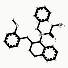 COc1ccccc1CC1CCc2ccccc2C1N(Cc1ccccc1)C(=O)CN